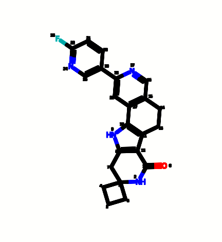 O=C1NC2(CCC2)Cc2[nH]c3c(c21)CCc1cnc(-c2ccc(F)nc2)cc1-3